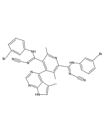 Cc1nc(C(=NC#N)Nc2cccc(Br)c2)c(C)c(-c2ncnc3[nH]cc(C)c23)c1C(=NC#N)Nc1cccc(Br)c1